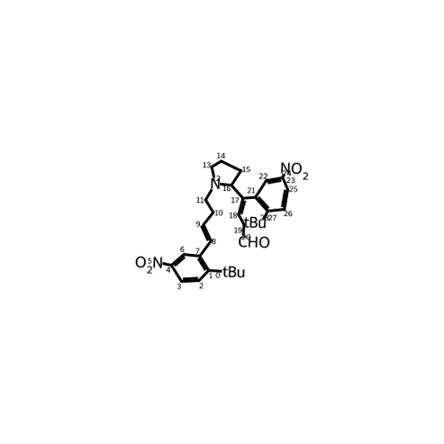 CC(C)(C)c1ccc([N+](=O)[O-])cc1C=CCCN1CCCC1C(=CCC=O)c1cc([N+](=O)[O-])ccc1C(C)(C)C